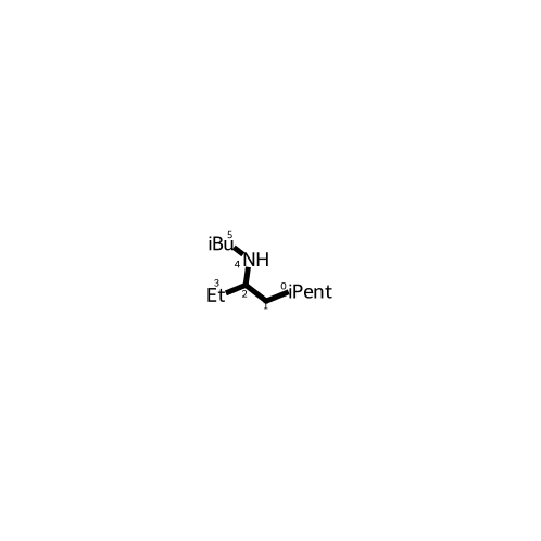 CCCC(C)CC(CC)NC(C)CC